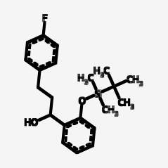 CC(C)(C)[Si](C)(C)Oc1ccccc1C(O)CCc1ccc(F)cc1